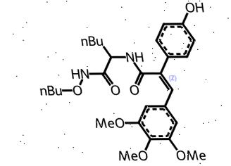 CCCCONC(=O)C(CCCC)NC(=O)/C(=C\c1cc(OC)c(OC)c(OC)c1)c1ccc(O)cc1